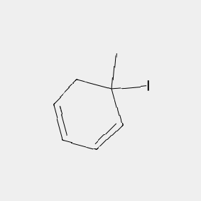 CC1(I)C=CC=CC1